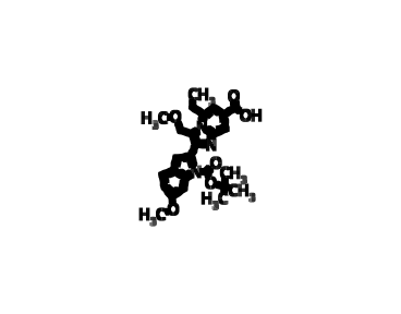 CCc1cc(C(=O)O)cc2nc(-c3cc4ccc(OC)cc4n3C(=O)OC(C)(C)C)c(COC)n12